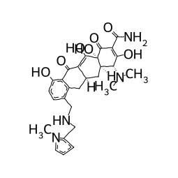 CN(C)[C@H]1C(O)=C(C(N)=O)C(=O)[C@]2(O)C(O)=C3C(=O)c4c(O)ccc(CNCc5cccn5C)c4C[C@@H]3C[C@H]12